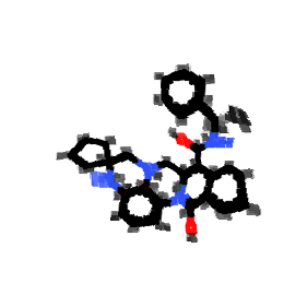 CC[C@H](NC(=O)c1c(CN2CCNC3(CCCC3)C2)n(-c2ccccc2)c(=O)c2ccccc12)c1ccccc1